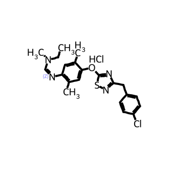 CCN(C)/C=N\c1cc(C)c(Oc2nc(Cc3ccc(Cl)cc3)ns2)cc1C.Cl